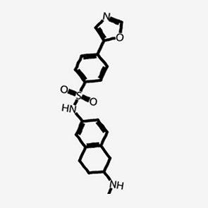 CCCNC1CCc2cc(NS(=O)(=O)c3ccc(-c4cnco4)cc3)ccc2C1